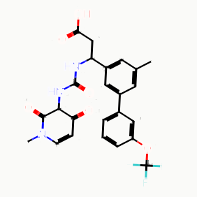 Cc1cc(-c2cccc(OC(F)(F)F)c2)cc(C(CC(=O)O)NC(=O)NC2C(=O)C=CN(C)C2=O)c1